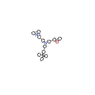 c1ccc([Si](c2ccccc2)(c2ccccc2)c2ccc(-c3ccc(N(c4ccc(-c5ccc6c(c5)oc5ccccc56)cc4)c4ccc(-c5ccc6c(c5)c5cccc7c8ccccc8n6c75)cc4)cc3)cc2)cc1